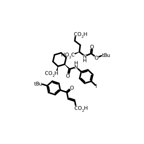 CC(C)(C)OC(=O)N[C@H](CCC(=O)O)C(=O)O.CC(C)(C)c1ccc(C(=O)/C=C/C(=O)O)cc1.O=C(O)[C@H]1CCCC[C@H]1C(=O)Nc1ccc(I)cc1